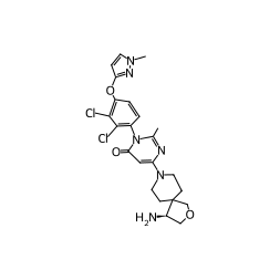 Cc1nc(N2CCC3(CC2)COC[C@H]3N)cc(=O)n1-c1ccc(Oc2ccn(C)n2)c(Cl)c1Cl